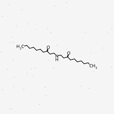 CCCCCCCC(=O)CCNCCC(=O)CCCCCCC